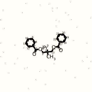 CC(C)C(C)(COC(=O)c1ccccc1)COC(=O)c1ccccc1